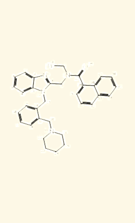 CC(C)CN(Cc1nc2ccccc2n1Cc1ccccc1CN1CCCCC1)C(=O)c1cccc2ccccc12